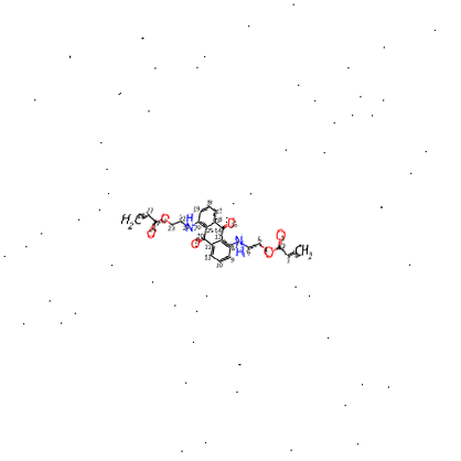 C=CC(=O)OCCNc1cccc2c1C(=O)c1cccc(NCCOC(=O)C=C)c1C2=O